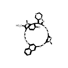 Cn1nc2cc1CSc1cc(c3ccccc3c1)OCCCc1c(C(=O)O)n(C)c3c(c(Cl)ccc13)-c1c(nn3c1CSCC3)CSC2